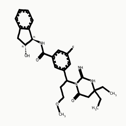 CCC1(CC)CC(=O)N(C(CCOC)c2cc(F)cc(C(=O)N[C@@H]3c4ccccc4C[C@H]3O)c2)C(=N)N1